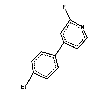 CCc1ccc(-c2ccnc(F)c2)cc1